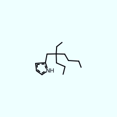 CCCCC(CC)(CCC)Cc1ccc[nH]1